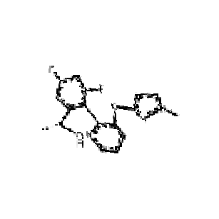 C[C@@H](O)c1cc(F)cc(F)c1-c1ncccc1Oc1ccn(C)n1